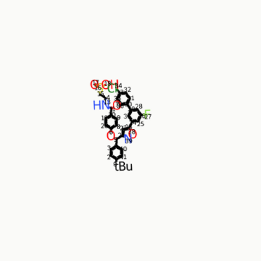 CC(C)(C)c1ccc(C(Oc2ccc(C(=O)NCCS(=O)O)cc2)c2cc(-c3cc(F)cc(-c4ccc(Cl)cc4)c3)on2)cc1